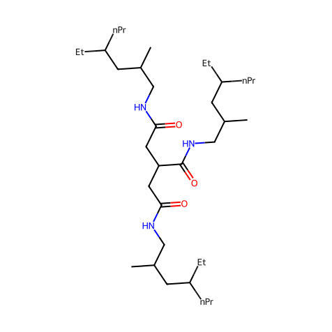 CCCC(CC)CC(C)CNC(=O)CC(CC(=O)NCC(C)CC(CC)CCC)C(=O)NCC(C)CC(CC)CCC